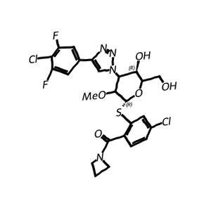 COC1C(n2cc(-c3cc(F)c(Cl)c(F)c3)nn2)[C@@H](O)C(CO)O[C@@H]1Sc1cc(Cl)ccc1C(=O)N1CCC1